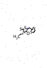 C=CCN1C(=O)/C(=C\c2nccs2)SC1=S